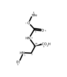 CCNC[C@@H](NC(=O)OC(C)(C)C)C(=O)O